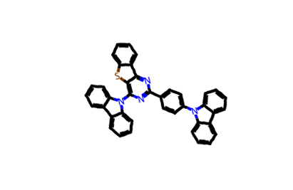 c1ccc2c(c1)sc1c(-n3c4ccccc4c4ccccc43)nc(-c3ccc(-n4c5ccccc5c5ccccc54)cc3)nc12